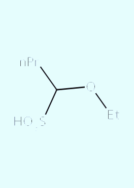 CCCC(OCC)S(=O)(=O)O